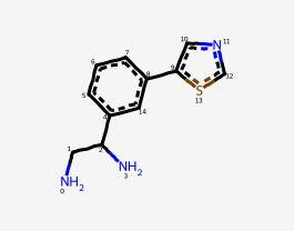 NCC(N)c1cccc(-c2cncs2)c1